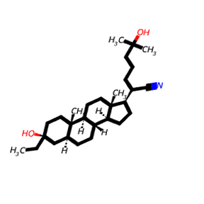 CC[C@]1(O)CC[C@@]2(C)[C@@H](CC[C@@H]3[C@@H]2CC[C@]2(C)[C@@H](C(C#N)CCCC(C)(C)O)CC[C@@H]32)C1